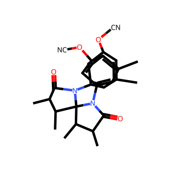 Cc1cc(OC#N)cc(N2C(=O)C(C)C(C)C23C(C)C(C)C(=O)N3c2cc(C)cc(OC#N)c2)c1